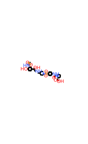 CS(=O)(=O)Nc1cc([C@@H](O)CNCC2CCN(S(=O)(=O)c3ccc(NC(=O)N4CCC[C@H]4C(=O)O)cc3)CC2)ccc1O